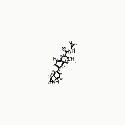 C/C(=C\c1c(F)cc(-c2ccc3[nH]ccc3c2)cc1F)C(=O)NC1CC1